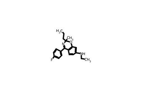 CCCC1(C)N=C(c2ccc(F)cc2)c2ccc(NCC)cc2O1